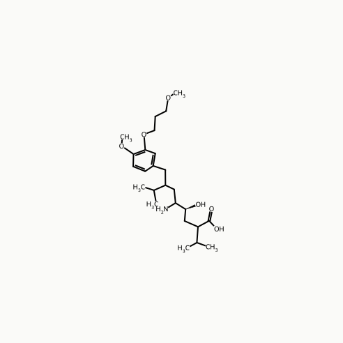 COCCCOc1cc(CC(CC(N)[C@@H](O)CC(C(=O)O)C(C)C)C(C)C)ccc1OC